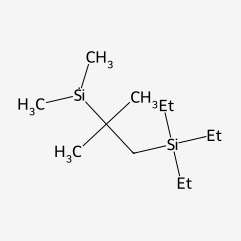 CC[Si](CC)(CC)CC(C)(C)[Si](C)C